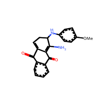 COc1ccc(NC2CC=C3C(=O)c4ccccc4C(=O)C3=C2N)cc1